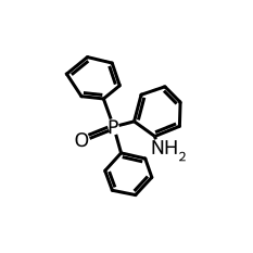 Nc1ccccc1P(=O)(c1ccccc1)c1ccccc1